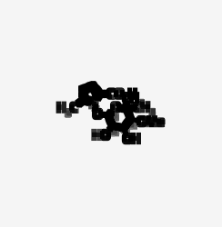 CO[C@@H]1[C@H](O)[C@@H](O)[C@@H](On2c(C)ccc2C(=O)O)OC1(C)C